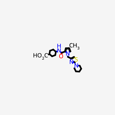 Cc1cc(C(=O)NC2CCC(C(=O)O)CC2)n(Cc2csc(N3CCCCC3)n2)c1